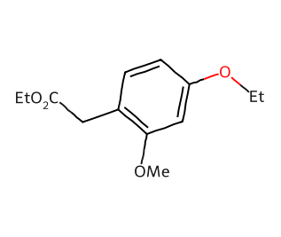 CCOC(=O)Cc1ccc(OCC)cc1OC